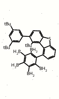 Bc1c(B)c(B)c(-c2cccc3sc4ccc(-c5cc(C(C)(C)C)cc(C(C)(C)C)c5)c(C(C)(C)C)c4c23)c(B)c1B